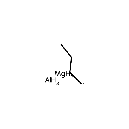 [AlH3].[CH2]CCC.[MgH2]